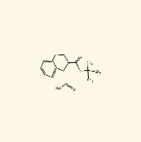 CC(C)(C)OC(=O)N1CCc2ccccc2C1.NC=O